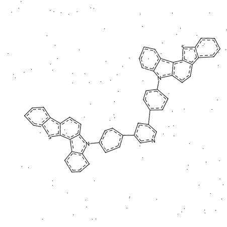 c1ccc2c(c1)sc1c2ccc2c1c1ccccc1n2-c1ccc(-c2cncc(-c3ccc(-n4c5ccccc5c5c6sc7ccccc7c6ccc54)cc3)c2)cc1